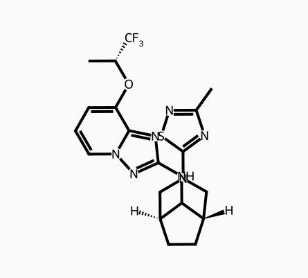 Cc1nsc(N2C[C@@H]3CC[C@@H](C2)C3Nc2nc3c(O[C@H](C)C(F)(F)F)cccn3n2)n1